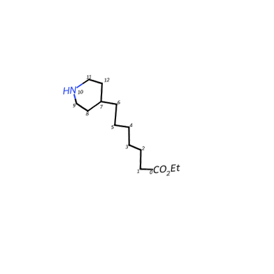 CCOC(=O)CCCCCCC1CCNCC1